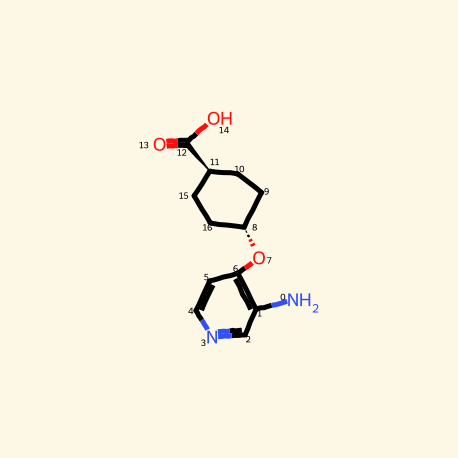 Nc1cnccc1O[C@H]1CC[C@H](C(=O)O)CC1